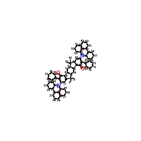 CC1(C)c2cc3c(cc2-c2c1cc(N(c1ccccc1)c1ccccc1-c1ccccc1)c1c2oc2ccccc21)C(C)(C)c1cc(N(c2ccccc2)c2ccccc2-c2ccccc2)c2c(oc4ccccc42)c1-3